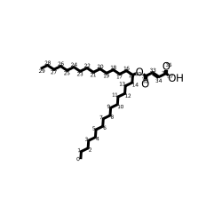 CCCCCCCCCCCCCCCC(CCCCCCCCCCCCCC)OC(=O)/C=C/C(=O)O